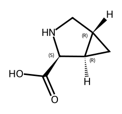 O=C(O)[C@H]1NC[C@@H]2C[C@H]21